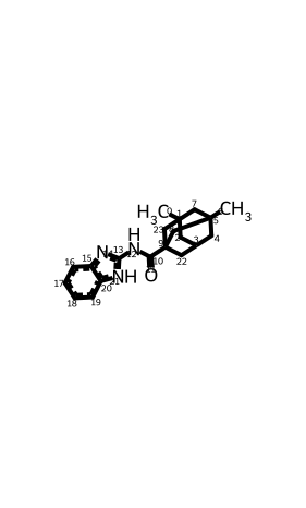 CC12CC3CC(C)(C1)CC(C(=O)Nc1nc4ccccc4[nH]1)(C3)C2